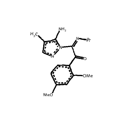 COc1ccc(C(=O)/C(=N\C(C)C)n2ncc(C)c2N)c(OC)c1